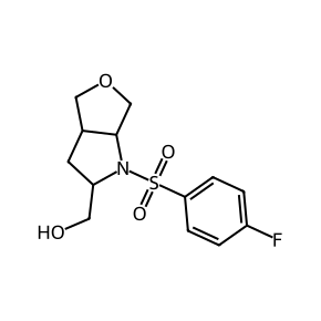 O=S(=O)(c1ccc(F)cc1)N1C(CO)CC2COCC21